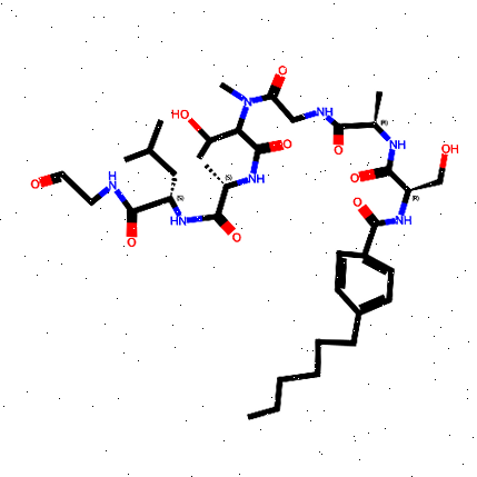 CCCCCCc1ccc(C(=O)N[C@H](CO)C(=O)N[C@H](C)C(=O)NCC(=O)N(C)C(C(=O)N[C@@H](C)C(=O)N[C@@H](CC(C)C)C(=O)NCC=O)C(C)O)cc1